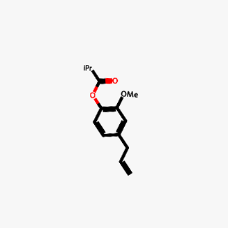 C=CCc1ccc(OC(=O)C(C)C)c(OC)c1